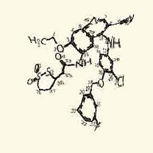 CCOc1cc2ncc(C#N)c(Nc3ccc(OCc4cccc(F)c4)c(Cl)c3)c2cc1NC(=O)CC1CCS(=O)(=O)S1